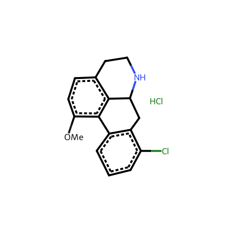 COc1ccc2c3c1-c1cccc(Cl)c1CC3NCC2.Cl